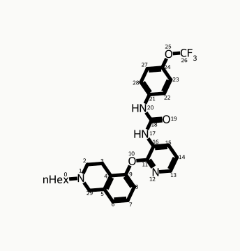 CCCCCCN1CCc2c(cccc2Oc2ncccc2NC(=O)Nc2ccc(OC(F)(F)F)cc2)C1